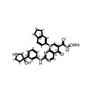 CONC(=O)c1cn(-c2ccc3c(c2)CCC3)c2nc(Nc3cccc(C4(O)CCNC4)c3)ncc2c1=O